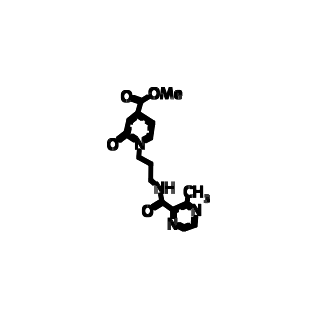 COC(=O)c1ccn(CCCNC(=O)c2nccnc2C)c(=O)c1